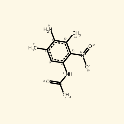 CC(=O)Nc1cc(C)c(N)c(C)c1[N+](=O)[O-]